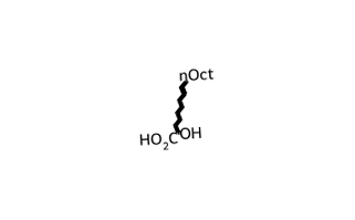 CCCCCCCCCC=CCCCCCC(O)C(=O)O